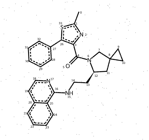 Cc1nc(C(=O)N2CC3(CC3)C[C@H]2CCNc2nccc3ccccc23)c(-c2ccccc2)s1